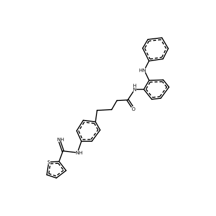 N=C(Nc1ccc(CCCC(=O)Nc2ccccc2Nc2ccccc2)cc1)c1cccs1